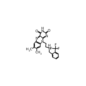 Cc1cc2nc3c(=O)[nH]c(=O)nc-3n(CCNCc3ccccc3C(F)(F)F)c2cc1C